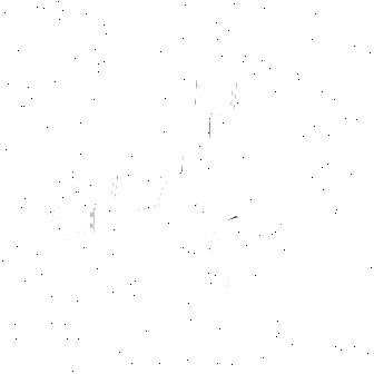 CCCC[C@H](NC[C@H](Cc1cccc2ccccc12)NC(=O)OCc1ccccc1)C(=O)OC